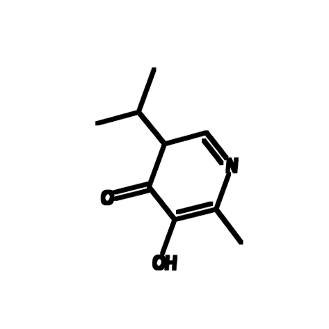 CC1=C(O)C(=O)C(C(C)C)C=N1